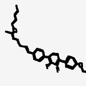 C=CCOc1ccc(-c2ccc(-c3ccc(C=CCCCC(C)OCCCCC)cc3)c(F)c2F)cc1